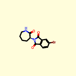 O=C1NCCCC[C@@H]1N1C(=O)c2ccc(Br)cc2C1=O